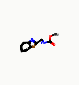 CC(C)(C)OC(=O)NCc1nc2ccccc2s1